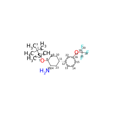 CC(C)(C)[Si](C)(C)OC1CC[C@H](c2cccc(OC(F)(F)F)c2)C[C@@H]1N